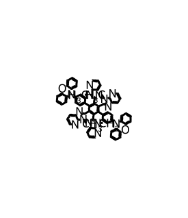 Cn1c(-c2c(-c3ccc(N4c5ccccc5Oc5ccccc54)cc3)c(-c3nc4cccnc4n3C)c(-c3nc4cccnc4n3C)c(-c3ccc(N4c5ccccc5Oc5ccccc54)cc3)c2-c2nc3cccnc3n2C)nc2cccnc21